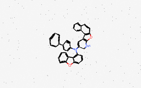 C1=C(N(c2ccc(-c3ccccc3)cc2)c2cccc3oc4ccccc4c23)CNc2oc3ccc4ccccc4c3c21